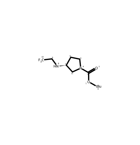 CC(C)(C)OC(=O)N1CC[C@@H](NCC(F)(F)F)C1